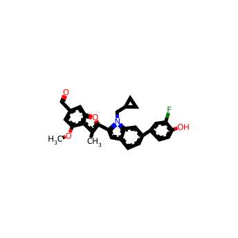 COc1cc(C=O)cc2oc(-c3cc4ccc(-c5ccc(O)c(F)c5)cc4n3CC3CC3)c(C)c12